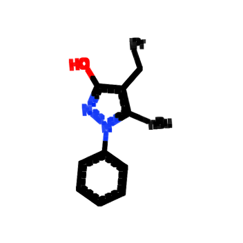 CCCCc1c(CC(C)C)c(O)nn1-c1ccccc1